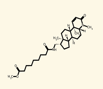 COC(=O)CCCCCCCC(=O)NC[C@H]1CC[C@H]2[C@@H]3CC[C@H]4N(C)C(=O)C=C[C@]4(C)[C@H]3CC[C@]12C